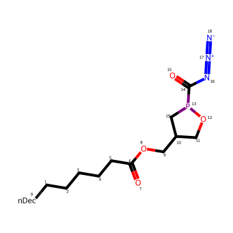 CCCCCCCCCCCCCCCC(=O)OCC1COP(C(=O)N=[N+]=[N-])C1